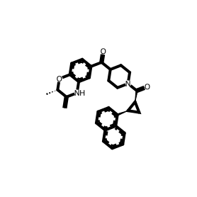 C=C1Nc2cc(C(=O)C3CCN(C(=O)[C@H]4C[C@H]4c4cccc5ccccc45)CC3)ccc2O[C@H]1C